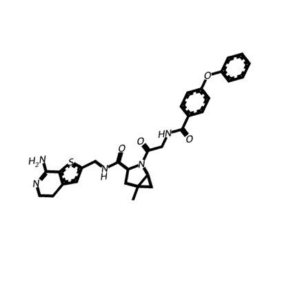 CC12CC(C(=O)NCc3cc4c(s3)C(N)=NCC4)N(C(=O)CNC(=O)c3ccc(Oc4ccccc4)cc3)C1C2